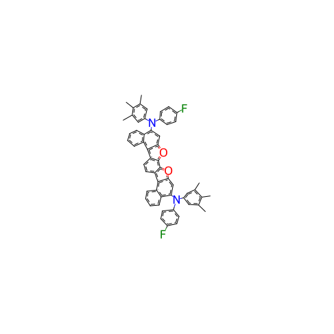 Cc1cc(N(c2ccc(F)cc2)c2cc3oc4c(ccc5c4oc4cc(N(c6ccc(F)cc6)c6cc(C)c(C)c(C)c6)c6ccccc6c45)c3c3ccccc23)cc(C)c1C